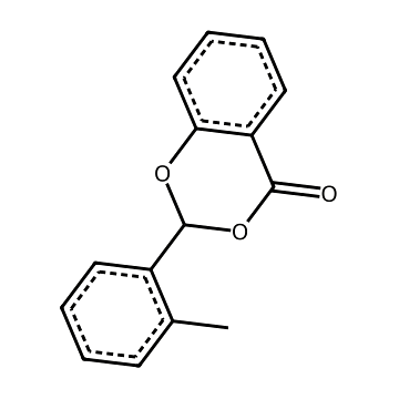 Cc1ccccc1C1OC(=O)c2ccccc2O1